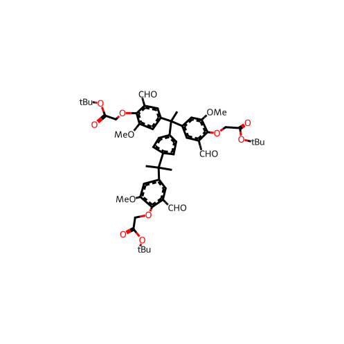 COc1cc(C(C)(C)c2ccc(C(C)(c3cc(C=O)c(OCC(=O)OC(C)(C)C)c(OC)c3)c3cc(C=O)c(OCC(=O)OC(C)(C)C)c(OC)c3)cc2)cc(C=O)c1OCC(=O)OC(C)(C)C